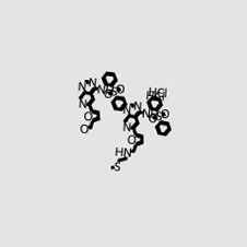 CSCCNCc1ccc(-c2cc3c(Nc4ccccc4S(=O)(=O)c4ccccc4)ncnc3cn2)o1.Cl.Cl.O=Cc1ccc(-c2cc3c(Nc4ccccc4S(=O)(=O)c4ccccc4)ncnc3cn2)o1